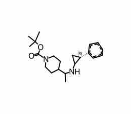 CC(NC1C[C@@H]1c1ccccc1)C1CCN(C(=O)OC(C)(C)C)CC1